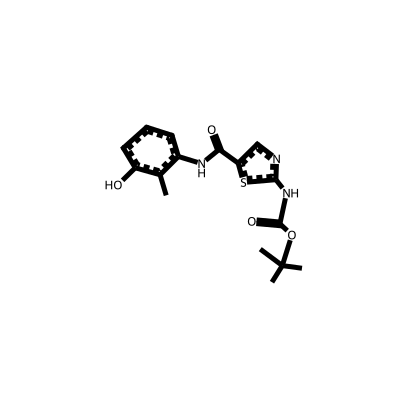 Cc1c(O)cccc1NC(=O)c1cnc(NC(=O)OC(C)(C)C)s1